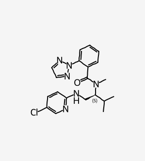 CC(C)[C@@H](CNc1ccc(Cl)cn1)N(C)C(=O)c1ccccc1-n1nccn1